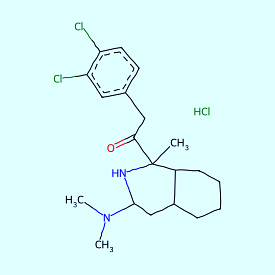 CN(C)C1CC2CCCCC2C(C)(C(=O)Cc2ccc(Cl)c(Cl)c2)N1.Cl